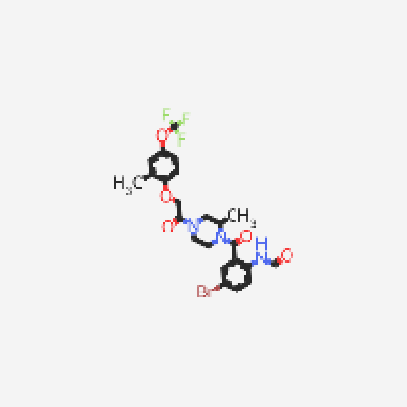 Cc1cc(OC(F)(F)F)ccc1OCC(=O)N1CCN(C(=O)c2cc(Br)ccc2NC=O)C(C)C1